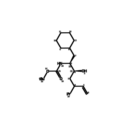 C=CC(C[C@H](O)[C@H](CC1CCCCC1)NC(=O)OC(C)(C)C)C(C)C